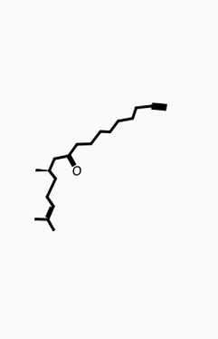 C#CCCCCCCCC(=O)C[C@H](C)CCC=C(C)C